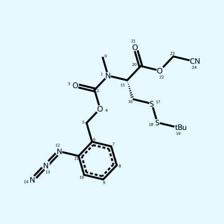 CN(C(=O)OCc1ccccc1N=[N+]=[N-])[C@@H](CSSC(C)(C)C)C(=O)OCC#N